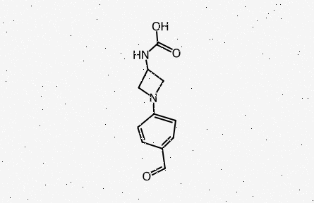 O=Cc1ccc(N2CC(NC(=O)O)C2)cc1